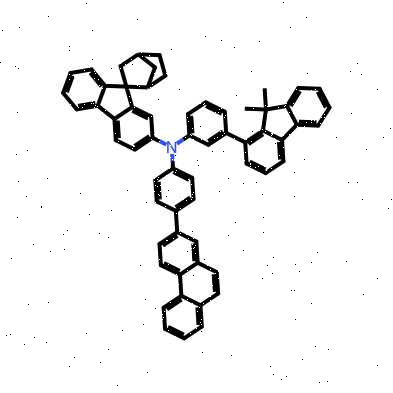 CC1(C)c2ccccc2-c2cccc(-c3cccc(N(c4ccc(-c5ccc6c(ccc7ccccc76)c5)cc4)c4ccc5c(c4)C4(CC6CCC4C6)c4ccccc4-5)c3)c21